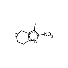 Cc1c([N+](=O)[O-])nn2c1COCC2